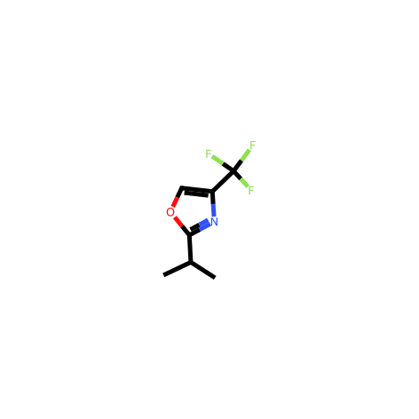 CC(C)c1nc(C(F)(F)F)co1